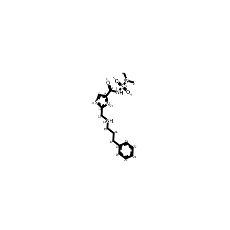 CN(C)S(=O)(=O)NC(=O)c1csc(CNCCCc2ccccc2)n1